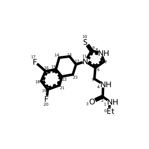 CCNC(=O)NCc1c[nH]c(=S)n1C1CCc2c(F)cc(F)cc2C1